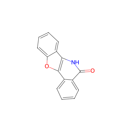 O=c1[nH]c2c3ccccc3oc2c2ccccc12